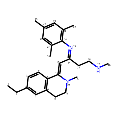 CCc1ccc2c(c1)CCN(C)/C2=C\C(CCNC)=N/c1c(C)cc(C)cc1C